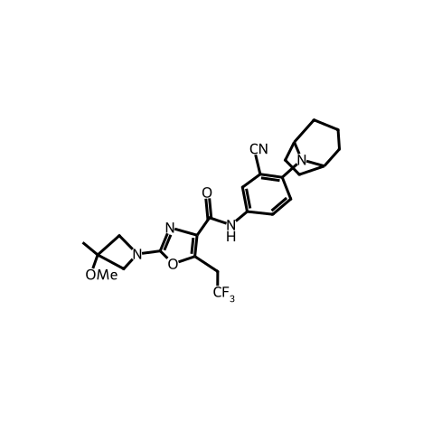 COC1(C)CN(c2nc(C(=O)Nc3ccc(N4C5CCCC4CC5)c(C#N)c3)c(CC(F)(F)F)o2)C1